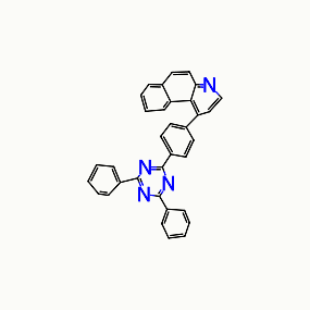 c1ccc(-c2nc(-c3ccccc3)nc(-c3ccc(-c4ccnc5ccc6ccccc6c45)cc3)n2)cc1